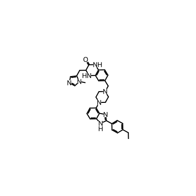 CCc1ccc(-c2nc3c(N4CCN(Cc5ccc6c(c5)NC(Cc5cncn5C)C(=O)N6)CC4)cccc3[nH]2)cc1